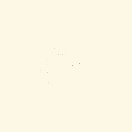 CC(Oc1ccc2ncc(-c3ccc(N4C[C@@H](N)CC4=O)cc3)n2n1)c1cc(F)ccc1F